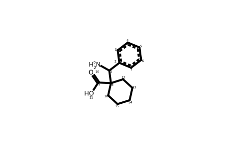 NC(c1ccccc1)C1(C(=O)O)CCCCC1